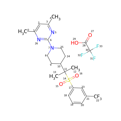 Cc1cc(C)nc(N2CCC(C(C)(C)S(=O)(=O)c3cccc(C(F)(F)F)c3)CC2)n1.O=C(O)C(F)(F)F